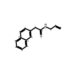 C=CCNC(=O)Cc1ccc2ccccc2c1